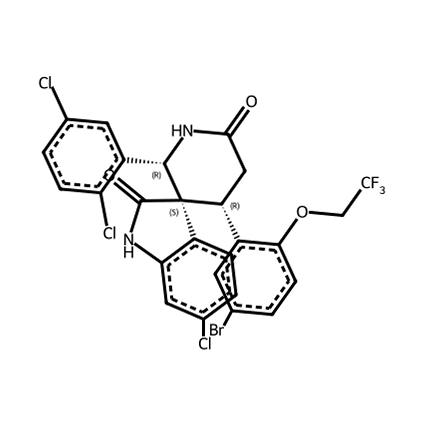 O=C1C[C@H](c2cc(Br)ccc2OCC(F)(F)F)[C@@]2(C(=O)Nc3cc(Cl)ccc32)[C@H](c2cc(Cl)ccc2Cl)N1